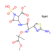 COC(=O)C1C(NC(=O)/C(=N\OC(C)(C)C(=O)OC)c2csc(N)n2)C(=O)N1S(=O)(=O)O.[NaH]